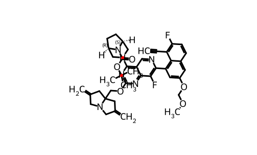 C#Cc1c(F)ccc2cc(OCOC)cc(-c3ncc4c(N5C[C@H]6CC[C@@H](C5)N6C(=O)OC(C)(C)C)nc(OCC56CC(=C)CN5CC(=C)C6)nc4c3F)c12